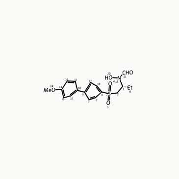 CC[C@H](CS(=O)(=O)c1ccc(-c2ccc(OC)cc2)cc1)N(O)C=O